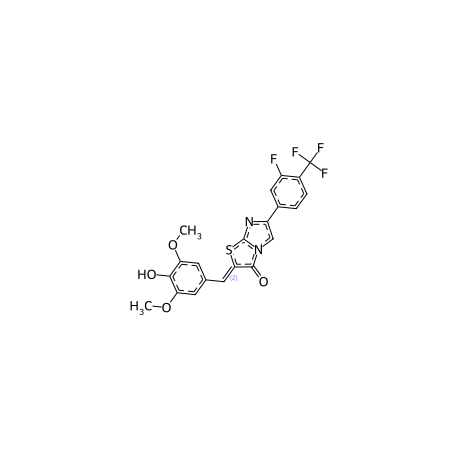 COc1cc(/C=c2\sc3nc(-c4ccc(C(F)(F)F)c(F)c4)cn3c2=O)cc(OC)c1O